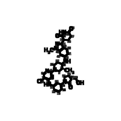 C[C@@H]1CN(c2ncc(Cl)c(Nc3cccc(N4CC[C@H](CO)C4=O)c3)n2)CC[C@H]1Nc1ccc2c(C3CCC(=O)NC3=O)nn(C)c2c1